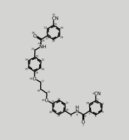 N#Cc1cccc(C(=O)NCc2ccc(OCCCOc3ccc(CNC(=O)c4cccc(C#N)c4)cc3)cc2)c1